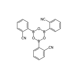 N#Cc1ccccc1B1OB(c2ccccc2C#N)OB(c2ccccc2C#N)O1